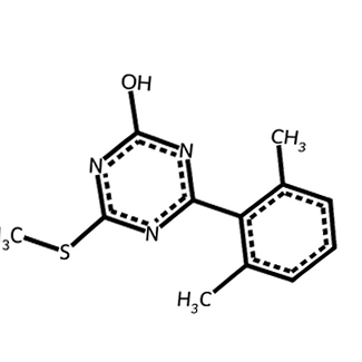 CSc1nc(O)nc(-c2c(C)cccc2C)n1